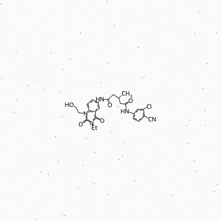 CCn1c(=O)c2cc(NC(=O)CC(C)CC(=O)Nc3ccc(C#N)c(Cl)c3)ccc2n(CCO)c1=O